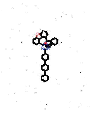 c1ccc(-c2ccc(-c3ccc(-c4nc(-c5ccccc5)nc(-c5cccc6oc7cccc(-c8ccccc8)c7c56)n4)cc3)cc2)cc1